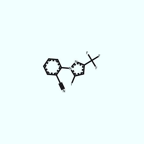 N#Cc1ccccc1-n1nc(C(F)(F)F)cc1I